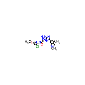 CCOc1ccc(CNC(=O)c2cnn(-c3nc(-c4cc(C)c5c(c4)CN(C)CC5)cnc3N)c2)c(Cl)c1